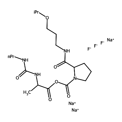 CCCNC(=O)NC(C)C(=O)OC(=O)N1CCCC1C(=O)NCCCOC(C)C.[F-].[F-].[F-].[Na+].[Na+].[Na+]